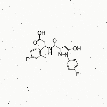 Cc1cc(F)ccc1C(CC(=O)O)NC(=O)c1cc(O)n(-c2ccc(F)cc2)n1